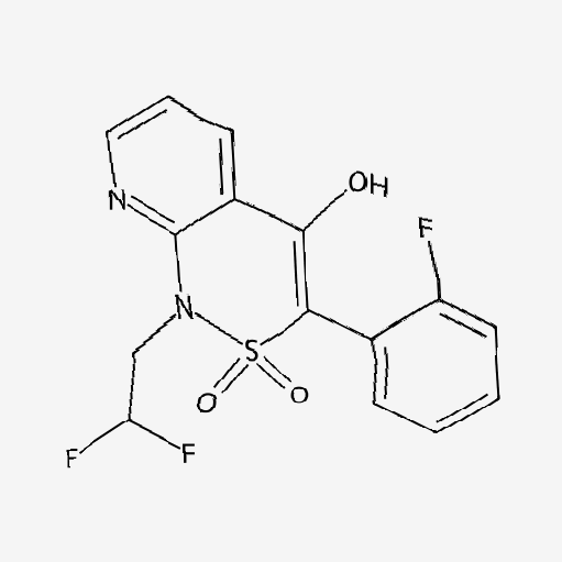 O=S1(=O)C(c2ccccc2F)=C(O)c2cccnc2N1CC(F)F